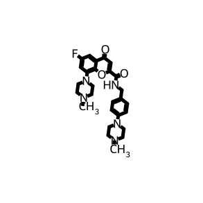 CN1CCN(c2ccc(CNC(=O)c3cc(=O)c4cc(F)cc(N5CCN(C)CC5)c4o3)cc2)CC1